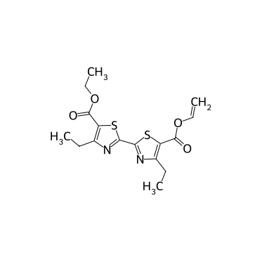 C=COC(=O)c1sc(-c2nc(CC)c(C(=O)OCC)s2)nc1CC